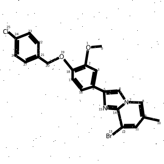 COc1cc(-c2cn3cc(C)cc(Br)c3n2)ccc1OCc1ccc(Cl)cc1